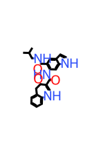 CC(C)CNC(=O)c1cc2cc[nH]c2cc1NC(=O)C1=CNc2ccccc2CC1=O